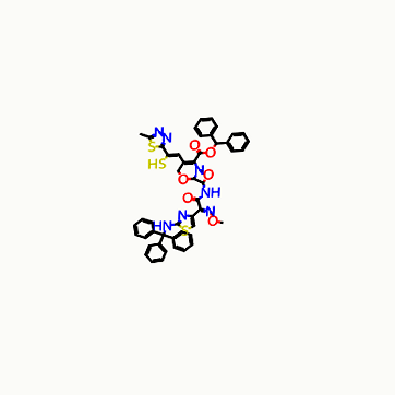 CON=C(C(=O)NC1ON2C(C(=O)OC(c3ccccc3)c3ccccc3)=C(C=C(S)c3nnc(C)s3)COC12)c1csc(NC(c2ccccc2)(c2ccccc2)c2ccccc2)n1